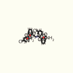 NC(=O)C(OC(=O)/C=C/C(=O)OC(C(N)=O)N1C2CCC1CC(Oc1ccc(Cl)cn1)C2)N1C2CCC1CC(Oc1ccc(Cl)cn1)C2